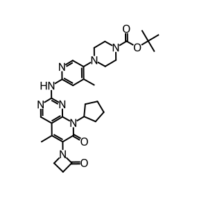 Cc1cc(Nc2ncc3c(C)c(N4CCC4=O)c(=O)n(C4CCCC4)c3n2)ncc1N1CCN(C(=O)OC(C)(C)C)CC1